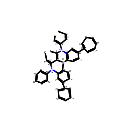 C/C=C\C(=C/C)N1C(C)=C2B(c3ccc(C4=CCC=CC=C4)cc31)c1ccc(-c3ccccc3)cc1N(c1ccccc1)/C2=C/C